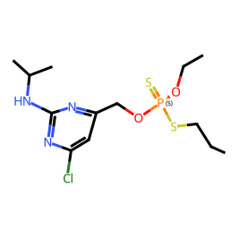 CCCS[P@@](=S)(OCC)OCc1cc(Cl)nc(NC(C)C)n1